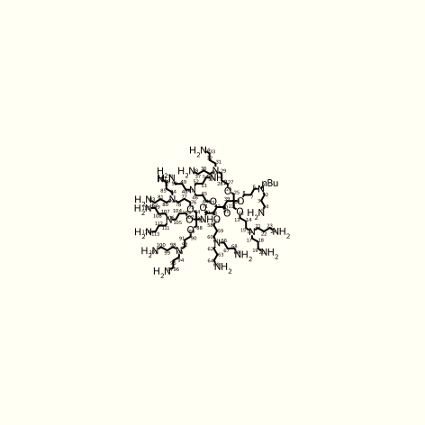 CCCCN(CCCN)CCCOC(COCCCN(CCCN)CCCN)(COCCCN(CCCN)CCCN)CC(=O)C(OCCCN(CCCN)CCCN)C(OCCCN(CCCN)CCCN)C(=O)NC(COCCCN(CCCN)CCCN)(COCCCN(CCCN)CCCN)OCCCN(CCCN)CCCN